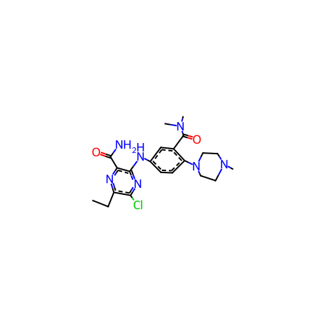 CCc1nc(C(N)=O)c(Nc2ccc(N3CCN(C)CC3)c(C(=O)N(C)C)c2)nc1Cl